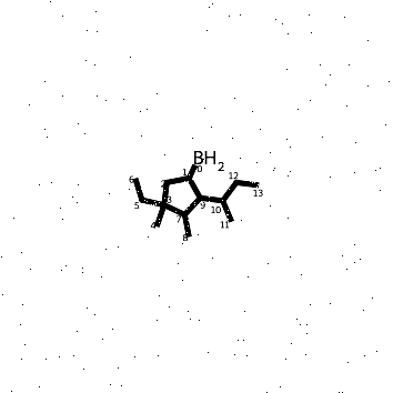 BC1CC(C)(CC)C(C)C1C(C)CC